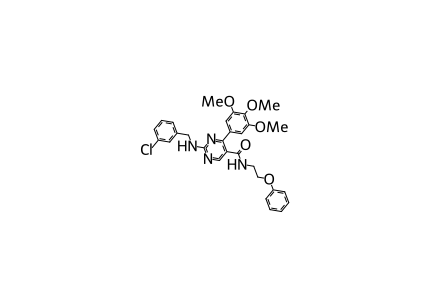 COc1cc(-c2nc(NCc3cccc(Cl)c3)ncc2C(=O)NCCOc2ccccc2)cc(OC)c1OC